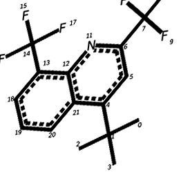 CC(C)(C)c1cc(C(F)(F)F)nc2c(C(F)(F)F)cccc12